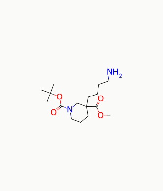 COC(=O)C1(CCCCN)CCCN(C(=O)OC(C)(C)C)C1